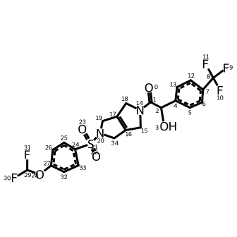 O=C(C(O)c1ccc(C(F)(F)F)cc1)N1CC2=C(C1)CN(S(=O)(=O)c1ccc(OC(F)F)cc1)C2